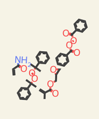 C=C(C)C(=O)OCC1CO1.C=CC(N)=O.CC(C)(OOC(C)(C)c1ccccc1)c1ccccc1.O=C(OOC(=O)c1ccccc1)c1ccccc1